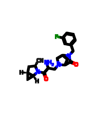 N#C[C@@H]1C[C@@H]2C[C@@H]2N1C(=O)C(N)CN1CC2CC1C(=O)N2Cc1cccc(F)c1